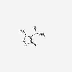 [CH2]c1csc(=O)n1C(N)=O